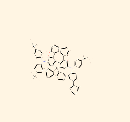 CC(C)(C)c1ccc(N(c2ccc(-c3ccccc3)cc2)c2cc3c(c4c2oc2ccccc24)-c2c(cc(N(c4ccc(C(C)(C)C)cc4)c4ccc(C(C)(C)C)cc4)c4oc5ccccc5c24)C3(c2ccccc2)c2ccccc2)cc1